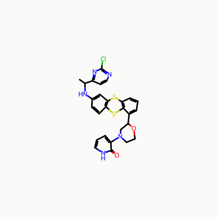 CC(Nc1ccc2c(c1)Sc1cccc(C3CN(c4ccc[nH]c4=O)CCO3)c1S2)c1ccnc(Cl)n1